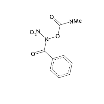 CNC(=O)ON(C(=O)c1ccccc1)[N+](=O)[O-]